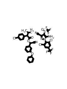 CC(C)C(C(=O)OC(C#N)c1cccc(Oc2ccccc2)c1)c1ccc(Cl)cc1.N#Cc1nn(-c2c(Cl)cc(C(F)(F)F)cc2Cl)c(N)c1[S+]([O-])C(F)(F)F